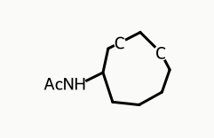 CC(=O)NC1CCCCCCCC1